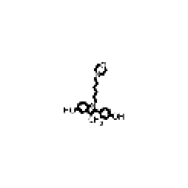 Cc1c(-c2ccc(O)cc2)n(CCCCCCN2CCOCC2)c2ccc(O)cc12